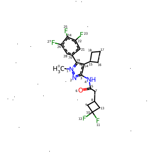 Cn1nc(NC(=O)CC2CC(F)(F)C2)c(C2CCC2)c1-c1cc(F)c(F)c(F)c1